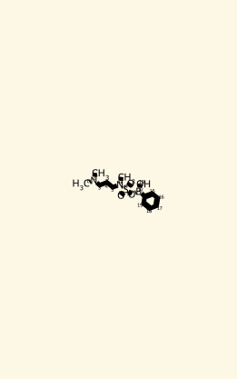 CN(C)CCCN(C)S(=O)(=O)OB(O)c1ccccc1